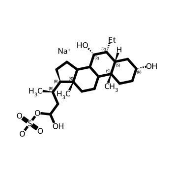 CC[C@H]1[C@@H](O)C2C3CC[C@H]([C@H](C)CC(O)OS(=O)(=O)[O-])[C@@]3(C)CCC2[C@@]2(C)CC[C@@H](O)C[C@@H]12.[Na+]